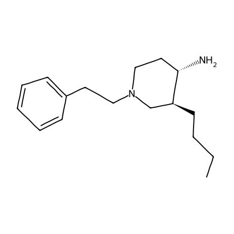 CCCC[C@H]1CN(CCc2ccccc2)CC[C@@H]1N